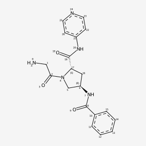 NCC(=O)N1C[C@H](NC(=O)c2ccccc2)C[C@H]1C(=O)Nc1ccncc1